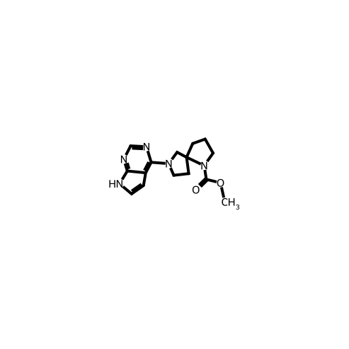 COC(=O)N1CCCC12CCN(c1ncnc3[nH]ccc13)C2